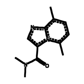 Cc1ccc(C)n2c(C(=O)N(C)C)cnc12